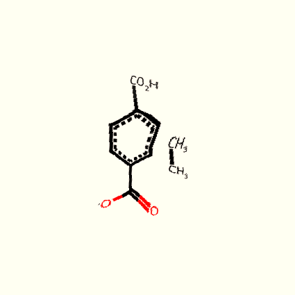 CC.[O]C(=O)c1ccc(C(=O)O)cc1